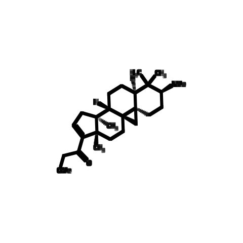 CN[C@H]1CC[C@]23C[C@]24CC[C@]2(C)C(C(=O)COC)=CC[C@@]2(C)[C@@H]4CC[C@H]3C1(C)C